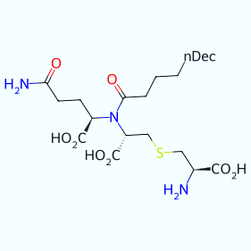 CCCCCCCCCCCCCC(=O)N([C@H](CCC(N)=O)C(=O)O)[C@H](CSC[C@H](N)C(=O)O)C(=O)O